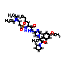 CCCCC(NS(=O)(=O)CCN(CC)CC)C(=O)Nc1cn(C(C)(C(=O)N2CCCC2)c2ccc(OC)cc2)cn1